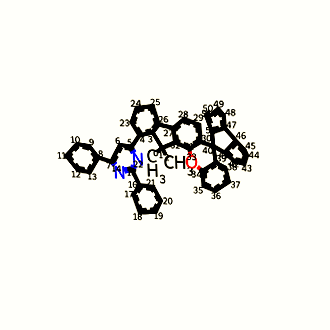 CC1(C)c2c(-c3cc(-c4ccccc4)nc(-c4ccccc4)n3)cccc2-c2ccc3c(c21)Oc1ccccc1C31c2ccccc2-c2ccccc21